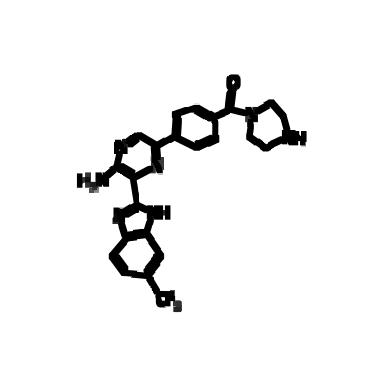 Nc1ncc(-c2ccc(C(=O)N3CCNCC3)cc2)nc1-c1nc2ccc(C(F)(F)F)cc2[nH]1